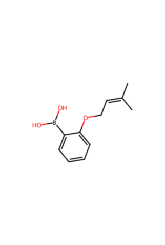 CC(C)=CCOc1ccccc1B(O)O